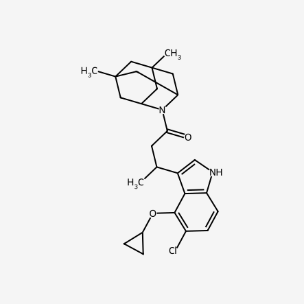 CC(CC(=O)N1C2CC3(C)CC1CC(C)(C2)C3)c1c[nH]c2ccc(Cl)c(OC3CC3)c12